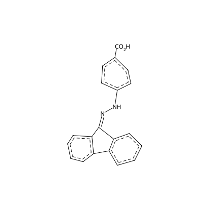 O=C(O)c1ccc(NN=C2c3ccccc3-c3ccccc32)cc1